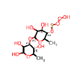 CC1OC(O)C(O)[C@@H](O[C@@H]2OC(C)[C@@H](OSOOO)[C@H](O)C2O)[C@@H]1O